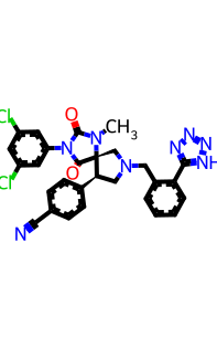 CN1C(=O)N(c2cc(Cl)cc(Cl)c2)C(=O)[C@]12CN(Cc1ccccc1-c1nnn[nH]1)C[C@H]2c1ccc(C#N)cc1